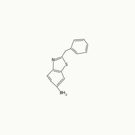 Bc1ccc2nc(Cc3ccccc3)sc2c1